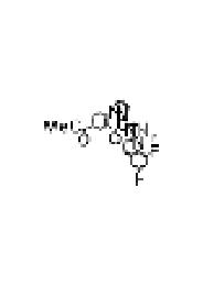 COC(=O)c1ccc(-n2cccn2)c([C@H](C)Oc2cc3cc(F)cc(F)c3nc2N)c1